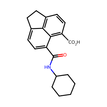 O=C(O)c1ccc2c3c(ccc(C(=O)NC4CCCCC4)c13)CC2